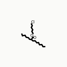 CCCCCCCCC(CCCCCC)C(=O)OCCCCCCCl